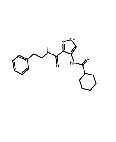 O=C(NCCc1ccccc1)c1n[nH]cc1NC(=O)C1CCCCC1